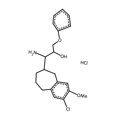 COc1cc2c(cc1Cl)CCCC(C(N)C(O)COc1ccccc1)C2.Cl